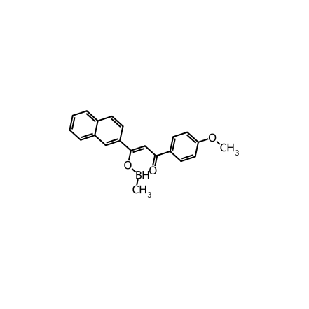 CBO/C(=C\C(=O)c1ccc(OC)cc1)c1ccc2ccccc2c1